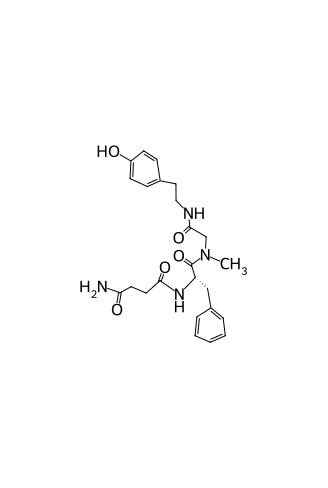 CN(CC(=O)NCCc1ccc(O)cc1)C(=O)[C@H](Cc1ccccc1)NC(=O)CCC(N)=O